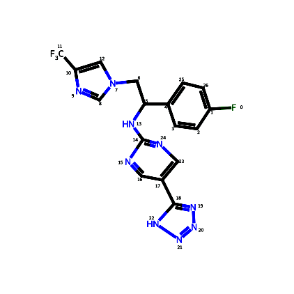 Fc1ccc(C(Cn2cnc(C(F)(F)F)c2)Nc2ncc(-c3nnn[nH]3)cn2)cc1